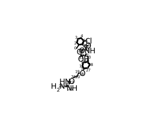 Cc1cccc(Cl)c1S(=O)(=O)N[C@@H](Cc1ccc(OCCCONC(=N)N)cc1)C(=O)O